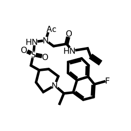 C#CCNC(=O)CN(NS(=O)(=O)CC1CCN(C(C)c2ccc(F)c3ccccc23)CC1)C(C)=O